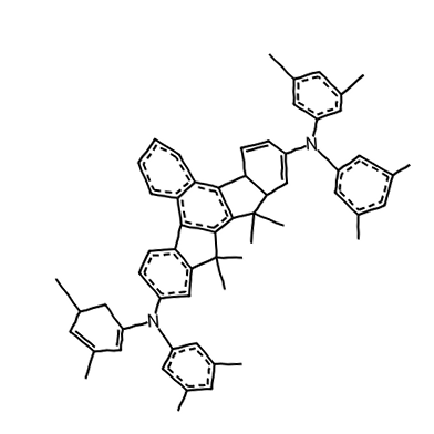 CC1=CC(C)CC(N(c2cc(C)cc(C)c2)c2ccc3c(c2)C(C)(C)c2c4c(c5ccccc5c2-3)C2C=CC(N(c3cc(C)cc(C)c3)c3cc(C)cc(C)c3)=CC2C4(C)C)=C1